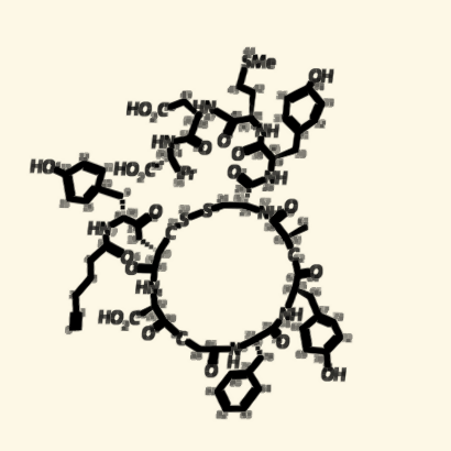 C#CCCCC(=O)N[C@H](Cc1ccc(O)cc1)C(=O)C[C@@H]1CSSC[C@H](C(=O)N[C@H](Cc2ccc(O)cc2)C(=O)N[C@H](CCSC)C(=O)N[C@H](CC(=O)O)C(=O)N[C@@H](C(=O)O)C(C)C)NC(=O)[C@@H](C)CC(=O)[C@@H](Cc2ccc(O)cc2)NC(=O)[C@H](Cc2ccccc2)NC(=O)CCC(=O)[C@@H](C(=O)O)NC1=O